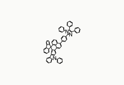 c1ccc(-c2nc(-c3ccc(-c4ccc5c6c(cccc46)C4(c6ccccc6-c6ccccc64)c4cc6c7ccccc7n(-c7ccccc7)c6cc4-5)cc3)n(-c3ccccc3)c2-c2ccccc2)cc1